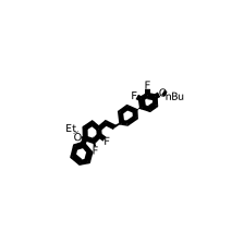 CCCCOc1ccc([C@H]2CC[C@H](CCC3CC[C@@](OCC)(c4ccccc4)[C@H](F)C3F)CC2)c(F)c1F